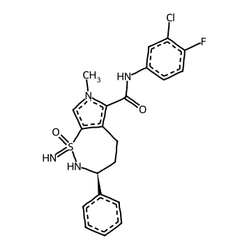 Cn1cc2c(c1C(=O)Nc1ccc(F)c(Cl)c1)CC[C@@H](c1ccccc1)NS2(=N)=O